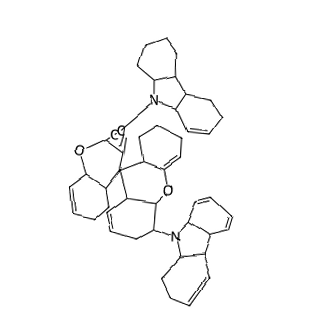 C1=CC2C3C=CCCC3N(C3CC=CC4C3OC3=CCCCC3C43C4=CC(N5C6C=CCCC6C6CCCCC65)CCC4OC4C=CCCC43)C2C=C1